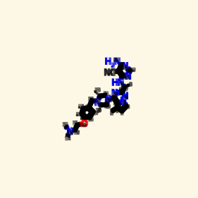 Cc1ccn2nc([C@H](C)Nc3ncnc(N)c3C#N)nc(N3C[C@@H](C)N(Cc4ccc(OCCN(C)C)cc4)[C@@H](C)C3)c12